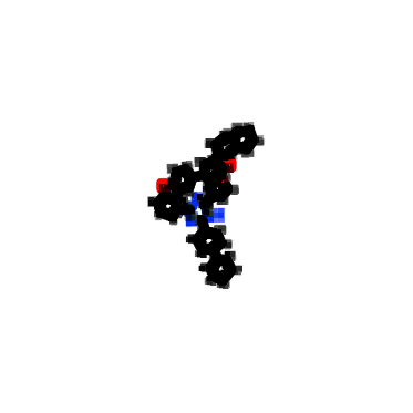 c1ccc(C2=NC(c3cccc4oc5ccc(-c6ccc7oc8c9ccccc9ccc8c7c6)cc5c34)=NC(c3ccc(-c4ccccc4)cc3)N2)cc1